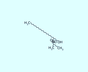 CCCCCCCCCCCCCCCCCCCCC(CC(O)CO)C(=O)OCC(CC)CCCC